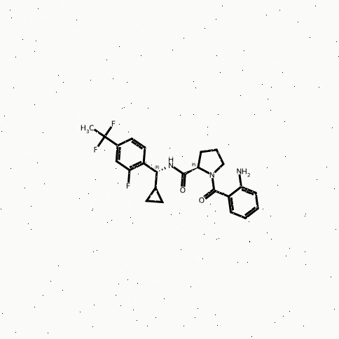 CC(F)(F)c1ccc([C@H](NC(=O)[C@H]2CCCN2C(=O)c2ccccc2N)C2CC2)c(F)c1